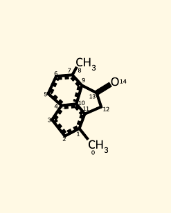 Cc1ccc2ccc(C)c3c2c1CC3=O